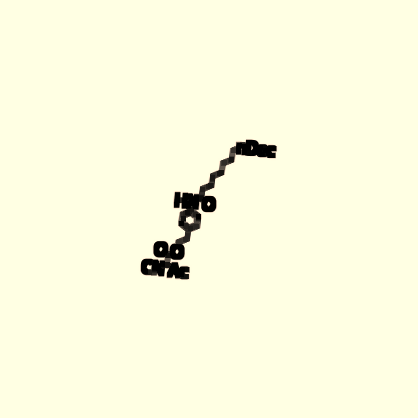 [C-]#[N+]C(C(C)=O)C(=O)OCCc1ccc(NC(=O)CCCCCCCCCCCCCCCCC)cc1